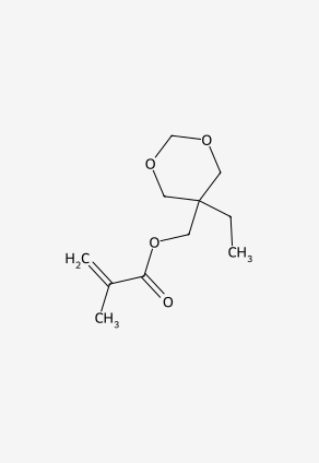 C=C(C)C(=O)OCC1(CC)COCOC1